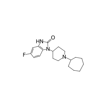 O=c1[nH]c2cc(F)ccc2n1C1CCN(C2CCCCCC2)CC1